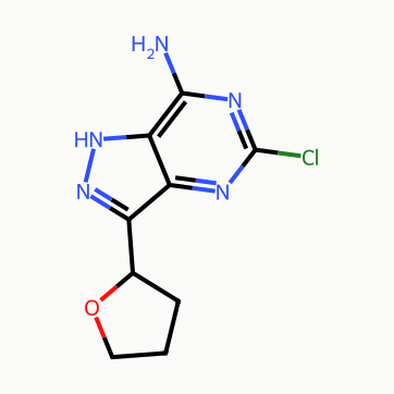 Nc1nc(Cl)nc2c(C3CCCO3)n[nH]c12